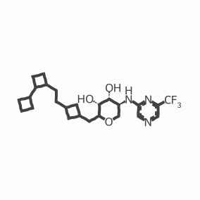 O[C@@H]1[C@@H](Nc2cncc(C(F)(F)F)n2)COC(CC2CC(CCC3CCC3C3CCC3)C2)[C@@H]1O